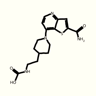 NC(=O)c1cc2nccc(N3CCC(CCNC(=O)O)CC3)c2s1